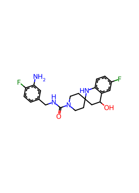 Nc1cc(CNC(=O)N2CCC3(CC2)CC(O)c2cc(F)ccc2N3)ccc1F